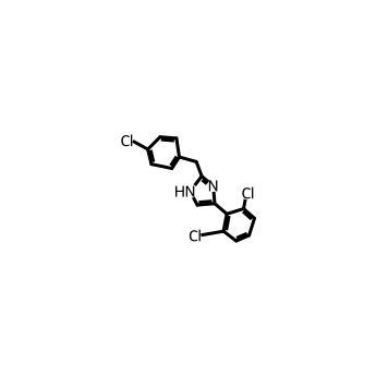 Clc1ccc(Cc2nc(-c3c(Cl)cccc3Cl)c[nH]2)cc1